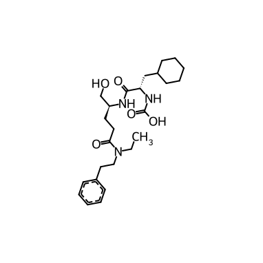 CCN(CCc1ccccc1)C(=O)CC[C@@H](CO)NC(=O)[C@H](CC1CCCCC1)NC(=O)O